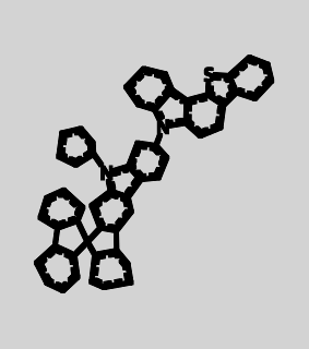 c1ccc(-n2c3cc(-n4c5ccccc5c5c6sc7ccccc7c6ccc54)ccc3c3cc4c(cc32)C2(c3ccccc3-c3ccccc32)c2ccccc2-4)cc1